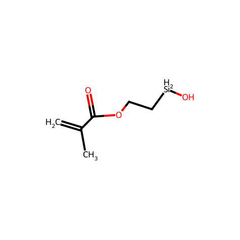 C=C(C)C(=O)OCC[SiH2]O